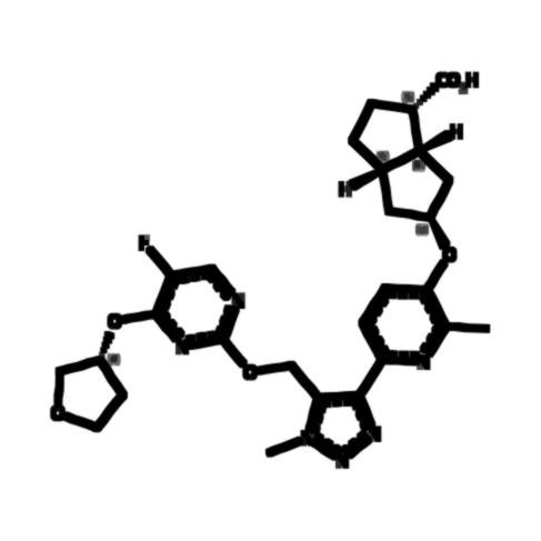 Cc1nc(-c2nnn(C)c2COc2ncc(F)c(O[C@@H]3CCOC3)n2)ccc1O[C@H]1C[C@@H]2CC[C@H](C(=O)O)[C@@H]2C1